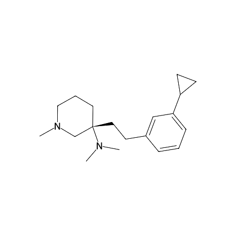 CN1CCC[C@](CCc2cccc(C3CC3)c2)(N(C)C)C1